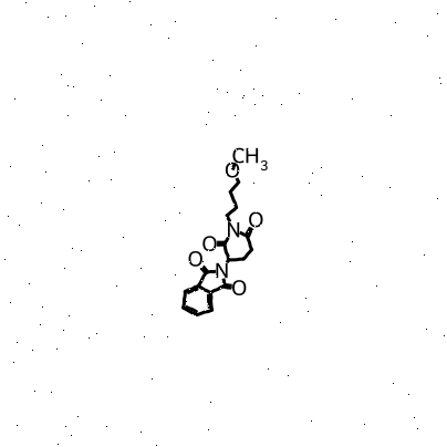 COCCCCN1C(=O)CCC(N2C(=O)c3ccccc3C2=O)C1=O